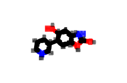 O=c1[nH]c2cc(O)c(-c3cccnc3)cc2o1